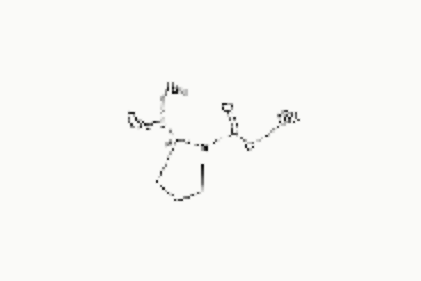 CCC(C)C(=O)[C@H]1CCCN1C(=O)OC(C)(C)C